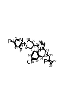 Fc1cnc(N2CCC(c3nnc4n3-c3ccc(Cl)cc3CN(CC3(F)CC3)C4)CC2)c(F)c1